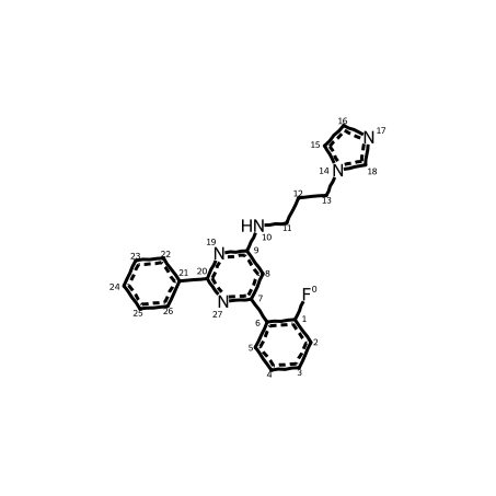 Fc1ccccc1-c1cc(NCCCn2ccnc2)nc(-c2ccccc2)n1